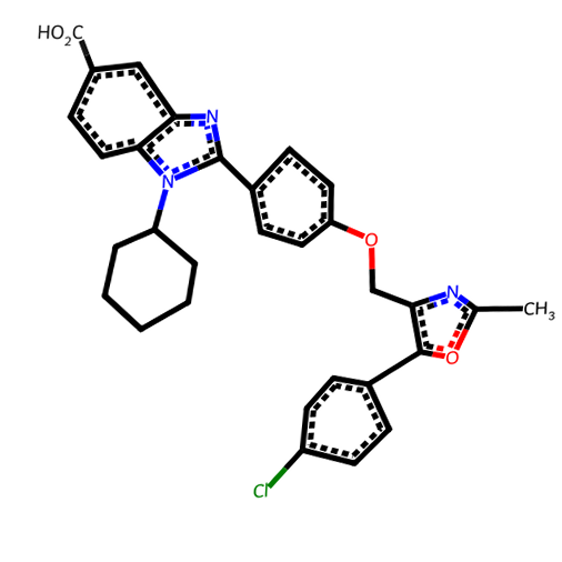 Cc1nc(COc2ccc(-c3nc4cc(C(=O)O)ccc4n3C3CCCCC3)cc2)c(-c2ccc(Cl)cc2)o1